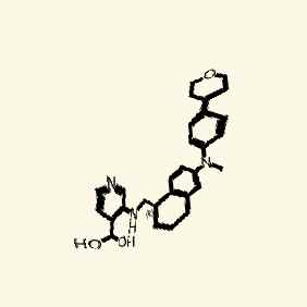 CN(c1ccc(C2=CCOCC2)cc1)c1ccc2c(c1)CCC[C@H]2CNc1cnccc1C(O)O